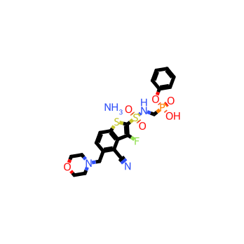 N.N#Cc1c(CN2CCOCC2)ccc2sc(S(=O)(=O)NCP(=O)(O)Oc3ccccc3)c(F)c12